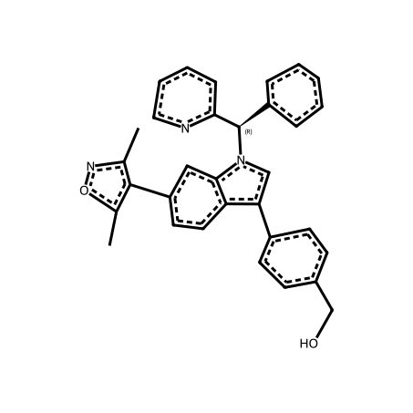 Cc1noc(C)c1-c1ccc2c(-c3ccc(CO)cc3)cn([C@H](c3ccccc3)c3ccccn3)c2c1